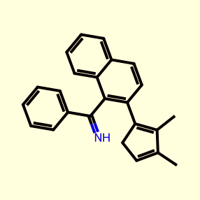 CC1=CCC(c2ccc3ccccc3c2C(=N)c2ccccc2)=C1C